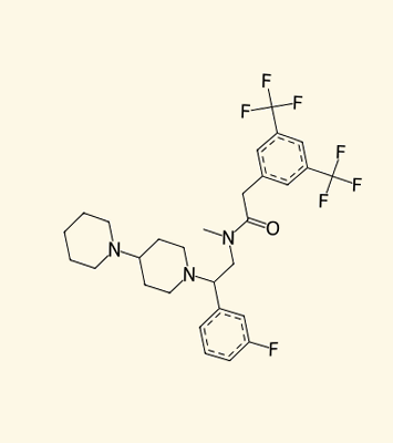 CN(CC(c1cccc(F)c1)N1CCC(N2CCCCC2)CC1)C(=O)Cc1cc(C(F)(F)F)cc(C(F)(F)F)c1